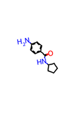 Nc1ccc(C(=O)NC2CCCC2)cc1